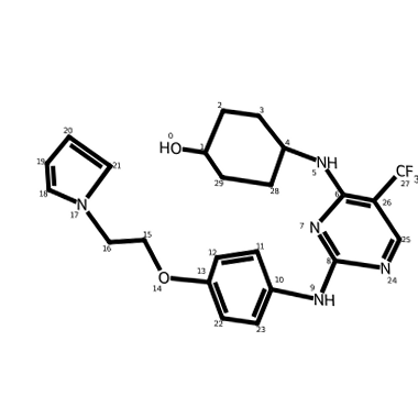 OC1CCC(Nc2nc(Nc3ccc(OCCn4cccc4)cc3)ncc2C(F)(F)F)CC1